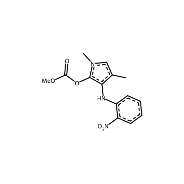 COC(=O)Oc1c(Nc2ccccc2[N+](=O)[O-])c(C)cn1C